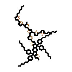 CCCCCCc1ccc(C2(c3ccc(CCCCCC)cc3)c3cc4c(cc3-c3sc(C)cc32)C(c2ccc(CCCCCC)cc2)(c2ccc(CCCCCC)cc2)c2cc(-c3ccc(-c5sc(-c6cc(-c7ccc(-c8ccc(CCCCCC)s8)s7)c(C)s6)cc5-c5ccc(-c6ccc(CCCCCC)s6)s5)s3)sc2-4)cc1